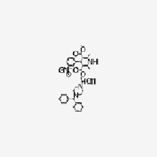 COC(=O)C1=C(C)NC(C)=C(C(=O)OCCN2CCN(C(c3ccccc3)c3ccccc3)CC2)[C@H]1c1cccc([N+](=O)[O-])c1.Cl.Cl